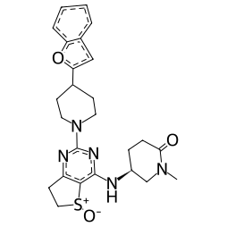 CN1C[C@@H](Nc2nc(N3CCC(c4cc5ccccc5o4)CC3)nc3c2[S+]([O-])CC3)CCC1=O